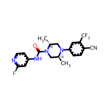 C[C@@H]1CN(c2ccc(C#N)c(C(F)(F)F)c2)[C@@H](C)CN1C(=O)Nc1ccnc(F)c1